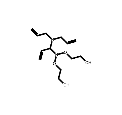 C=CCN(CC=C)C(C=C)N(OCCO)OCCO